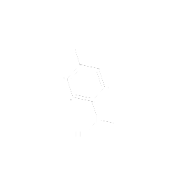 O=Cc1ccc(P(O)O)cc1